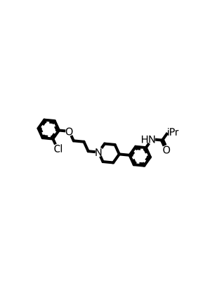 CC(C)C(=O)Nc1cccc(C2CCN(CCCOc3ccccc3Cl)CC2)c1